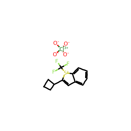 FC(F)(F)[s+]1c(C2CCC2)cc2ccccc21.[O-][Cl+3]([O-])([O-])[O-]